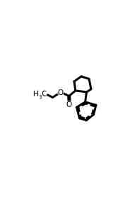 CCOC(=O)C1CCCCC1c1ccccc1